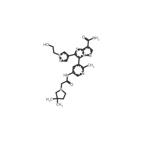 Cc1ncc(NC(=O)CN2CCC(C)(C)C2)cc1-c1c(-c2cnn(CCO)c2)sc2c(C(N)=O)cnn12